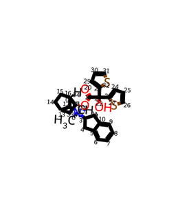 C[N+](C)(C1Cc2ccccc2C1)C1C2CC[C@@H]1[C@H](OC(=O)C(O)(c1cccs1)c1cccs1)C2